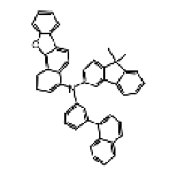 CC1(C)c2ccccc2-c2cc(N(c3cccc(-c4cccc5ccccc45)c3)c3cccc4c3ccc3c5ccccc5oc43)ccc21